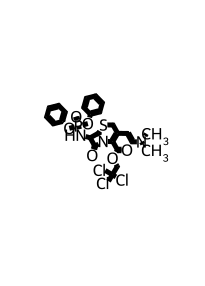 CN(C)C=CC1=C(C(=O)OCC(Cl)(Cl)Cl)N2C(=O)C(NP(=O)(Oc3ccccc3)Oc3ccccc3)C2SC1